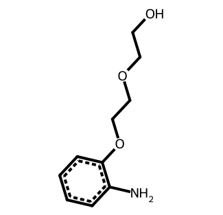 Nc1ccccc1OCCOCCO